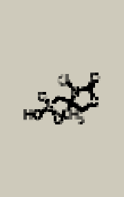 CC1(CS(=O)(=O)O)COC(=O)N1Cl